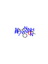 Cc1cc(NC2=NC=C(c3cnn(C)c3)C(N)(C3CCCCC3)N2)on1